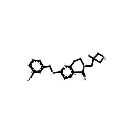 CC1(CN2CCc3nc(OCc4cccc(F)c4)ccc3C2=O)COC1